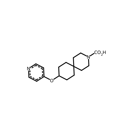 O=C(O)N1CCC2(CCC(Oc3ccncc3)CC2)CC1